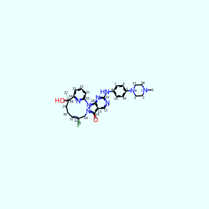 CN1CCN(c2ccc(Nc3ncc4c(=O)n5n(c4n3)-c3cccc(n3)[C@](C)(O)CC/C=C(/F)C5)cc2)CC1